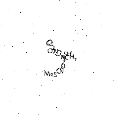 CSc1ccc(OCC[C@]2(C)C[C@]2(S)C2CCN(C(=O)CC3CC4C=CC3C4)CC2)nc1